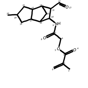 C=C(C)C(=O)OCC(=O)NC1C(C=O)C2CC1C1CC(C)CC21